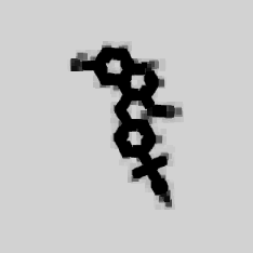 CC(C)(C#N)c1ccc(Cc2c(N=O)cnc3ccc(Br)cc23)cc1